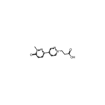 Cn1nc(-c2cc[n+](CCC(=O)O)nc2)ccc1=O